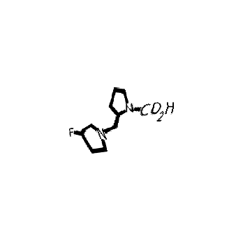 O=C(O)N1CCCC1CN1CCC(F)C1